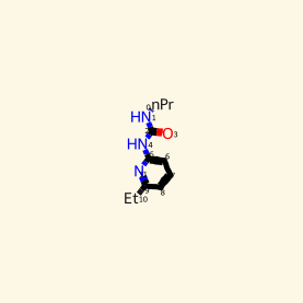 CCCNC(=O)Nc1cccc(CC)n1